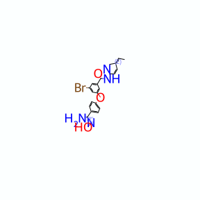 C/C=C1\C=CC(NC(=O)c2cc(Br)cc(Oc3ccc(/C(N)=N/O)cc3)c2)=NC1